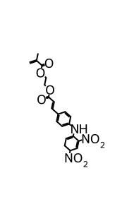 C=C(C)C(=O)OCCOC(=O)/C=C/c1ccc(NC2=CCC([N+](=O)[O-])C=C2[N+](=O)[O-])cc1